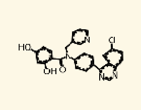 O=C(c1ccc(O)cc1O)N(Cc1cccnc1)c1ccc(-c2ncnc3ccc(Cl)cc23)cc1